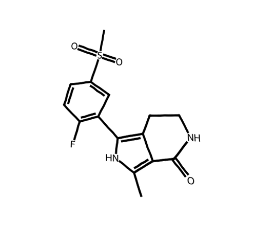 Cc1[nH]c(-c2cc(S(C)(=O)=O)ccc2F)c2c1C(=O)NCC2